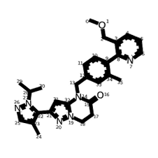 COCc1cccnc1-c1ccc(CN2C(=O)CCn3nc(-c4c(C)cnn4C(C)C)cc32)cc1C